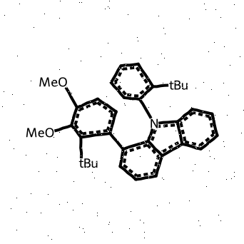 COc1ccc(-c2cccc3c4ccccc4n(-c4ccccc4C(C)(C)C)c23)c(C(C)(C)C)c1OC